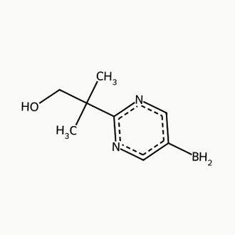 Bc1cnc(C(C)(C)CO)nc1